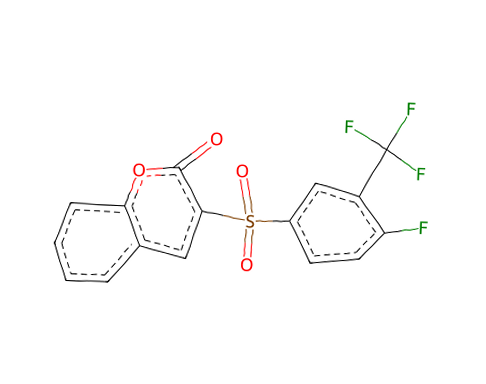 O=c1oc2ccccc2cc1S(=O)(=O)c1ccc(F)c(C(F)(F)F)c1